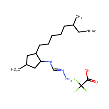 CC(=O)NCC(C)CCCCCC1CC(C(=O)O)CC1NC=NN.O=C(O)C(F)(F)F